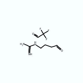 N=C(N)NCCCC=O.O=CC(F)(F)F